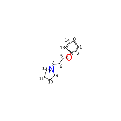 c1ccc(OCCCN2CCCC2)cc1